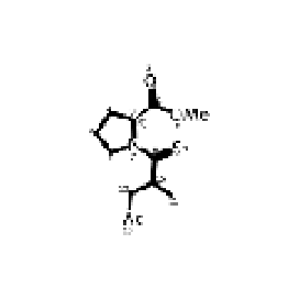 COC(=O)[C@@H]1CCCN1C(=S)C(C)CC(C)=O